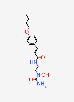 CCCCOc1ccc(C=CC(=O)NCCN(O)C(N)=O)cc1